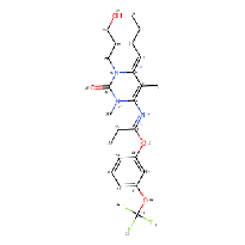 CCC/C=C1C(C)=C(/N=C(\CC)Oc2cccc(OC(F)(F)F)c2)N(C)C(=O)N/1CCCO